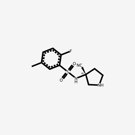 Cc1ccc(F)c(S(=O)(=O)N[C@]2(C#N)CCNC2)c1